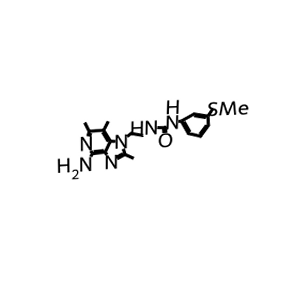 CSc1cccc(NC(=O)NCCn2c(C)nc3c(N)nc(C)c(C)c32)c1